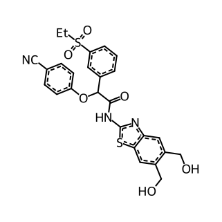 CCS(=O)(=O)c1cccc(C(Oc2ccc(C#N)cc2)C(=O)Nc2nc3cc(CO)c(CO)cc3s2)c1